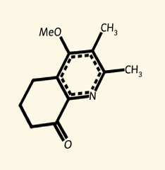 COc1c(C)c(C)nc2c1CCCC2=O